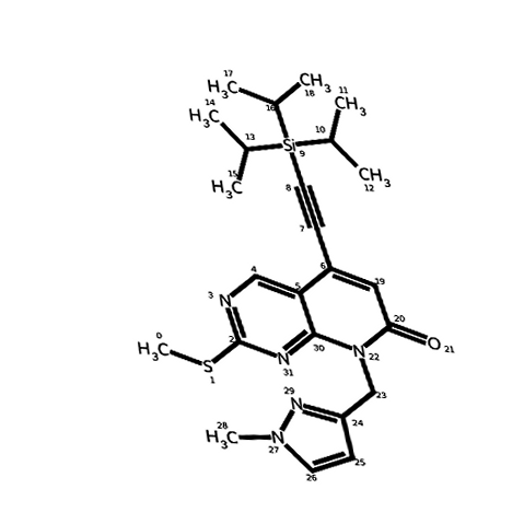 CSc1ncc2c(C#C[Si](C(C)C)(C(C)C)C(C)C)cc(=O)n(Cc3ccn(C)n3)c2n1